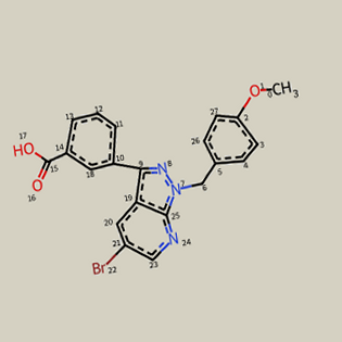 COc1ccc(Cn2nc(-c3cccc(C(=O)O)c3)c3cc(Br)cnc32)cc1